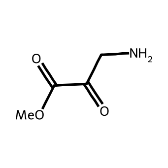 COC(=O)C(=O)CN